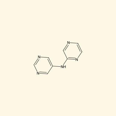 c1cnc(Nc2cncnc2)cn1